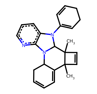 CC12C=CC1(C)C1N(C3=CCCC=C3)c3cccnc3N1C1CC=CC=C12